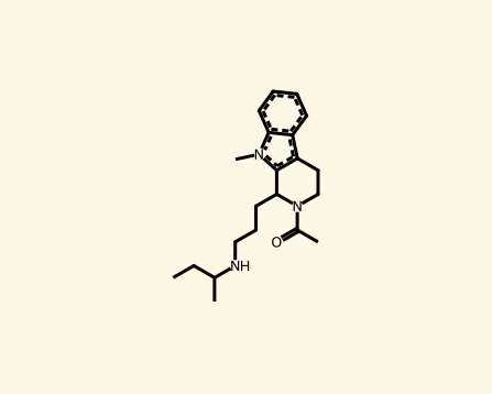 CCC(C)NCCCC1c2c(c3ccccc3n2C)CCN1C(C)=O